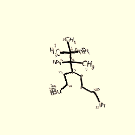 CCCC(C)(C)C(C)(CCC)[C](CCCC(C)C)CCC(C)CC